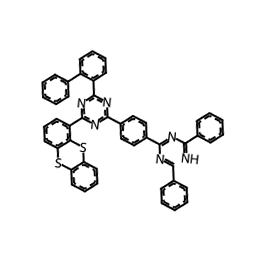 N=C(/N=C(\N=C\c1ccccc1)c1ccc(-c2nc(-c3ccccc3-c3ccccc3)nc(-c3cccc4c3Sc3ccccc3S4)n2)cc1)c1ccccc1